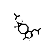 CC(C)CC1=CNC(C)C2=C1CC[C@@H]1[C@H](CC2)[C@@H]1CC(C)C